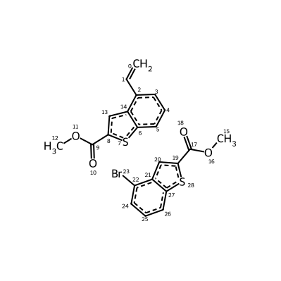 C=Cc1cccc2sc(C(=O)OC)cc12.COC(=O)c1cc2c(Br)cccc2s1